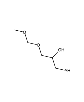 COCOCC(O)CS